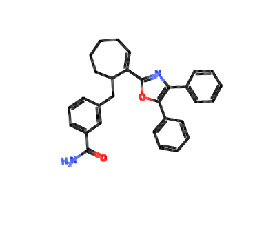 NC(=O)c1cccc(CC2CCCCC=C2c2nc(-c3ccccc3)c(-c3ccccc3)o2)c1